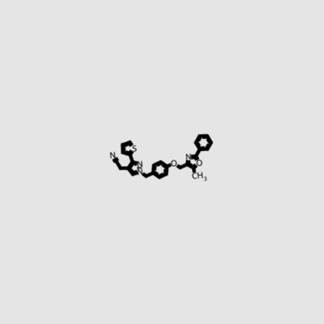 Cc1oc(-c2ccccc2)nc1COc1ccc(Cn2cc(CC#N)c(-c3cccs3)n2)cc1